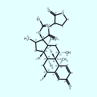 CCC(=O)O[C@]1(C(=O)SC2CCOC2=O)C(C)C[C@H]2[C@@H]3C[C@H](F)C4=CC(=O)C=C[C@]4(C)[C@@]3(F)[C@@H](O)C[C@@]21C